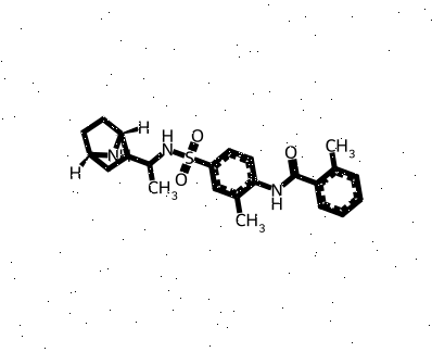 Cc1cc(S(=O)(=O)NC(C)C2C[C@@H]3CC[C@H]2N3)ccc1NC(=O)c1ccccc1C